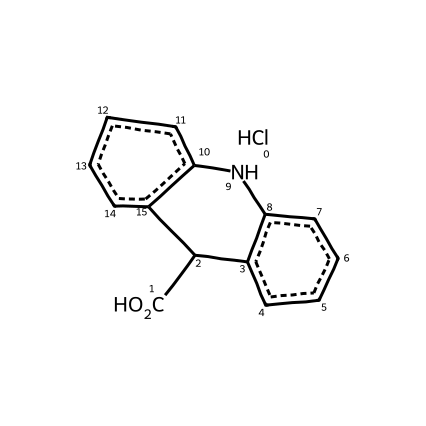 Cl.O=C(O)C1c2ccccc2Nc2ccccc21